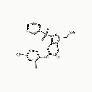 CNCc1cn(S(=O)(=O)c2cccnc2)c2cc(Nc3ccc([N+](=O)[O-])cc3C)ccc12.Cl